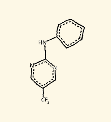 FC(F)(F)c1cnc(Nc2ccccc2)nc1